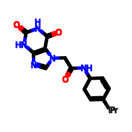 CC(C)C1=CCC(NC(=O)Cn2cnc3[nH]c(=O)[nH]c(=O)c32)C=C1